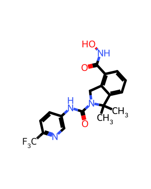 CC1(C)c2cccc(C(=O)NO)c2CN1C(=O)Nc1ccc(C(F)(F)F)nc1